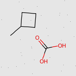 CC1CCC1.O=C(O)O